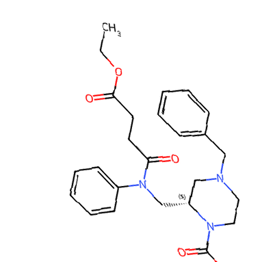 CCOC(=O)CCC(=O)N(C[C@@H]1CN(Cc2ccccc2)CCN1C(=O)O)c1ccccc1